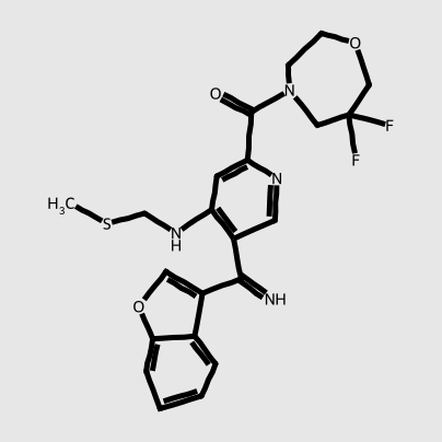 CSCNc1cc(C(=O)N2CCOCC(F)(F)C2)ncc1C(=N)c1coc2ccccc12